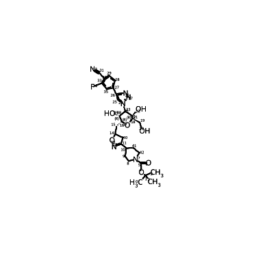 CC(C)(C)OC(=O)N1CCC(C2=NOC(C[C@H]3O[C@H](CO)[C@H](O)[C@H](n4cc(-c5ccc(C#N)c(F)c5)nn4)[C@H]3O)C2)CC1